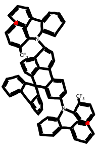 FC(F)(F)c1ccccc1N(c1ccc2c(c1)C1(c3ccccc3-c3ccccc31)c1cccc3c(N(c4ccccc4-c4ccccc4)c4ccccc4C(F)(F)F)ccc-2c13)c1ccccc1-c1ccccc1